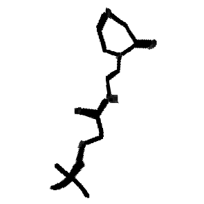 CC(C)(C)CSCC(=O)NCCN1CCOCC1=O